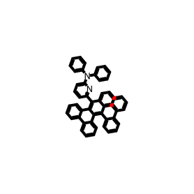 c1ccc(-c2ccccc2-c2c3ccccc3c(-c3cccc(N(c4ccccc4)c4ccccc4)n3)c3c4ccccc4c4ccccc4c23)cc1